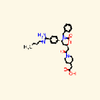 CCCCN=C(N)c1ccc([C@@H]2C[C@H](CC(=O)N3CCC(CC(=O)O)CC3)OC(=O)N2Cc2ccccc2)cc1